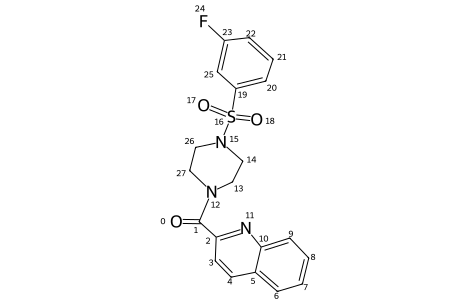 O=C(c1ccc2ccccc2n1)N1CCN(S(=O)(=O)c2cccc(F)c2)CC1